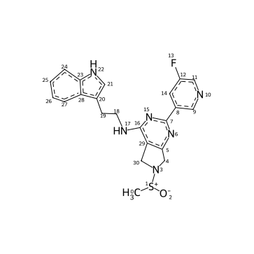 C[S+]([O-])N1Cc2nc(-c3cncc(F)c3)nc(NCCc3c[nH]c4ccccc34)c2C1